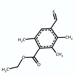 CCOC(=O)c1c(C)cc(C=S)c(C)c1C